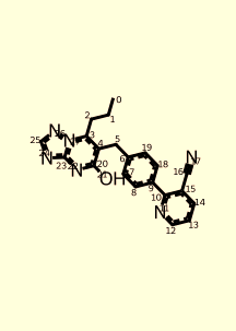 CCCc1c(Cc2ccc(-c3ncccc3C#N)cc2)c(O)nc2ncnn12